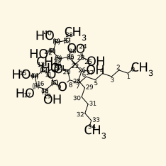 CCCCCCCCC(O[C@@H]1O[C@@H](C)[C@H](O)[C@@H](O)[C@H]1O)C(=O)C(C(=O)O)(C(O)CCCCCCC)[C@@H]1O[C@@H](C)[C@H](O)[C@@H](O)[C@H]1O